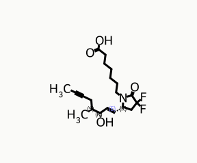 CC#CC[C@H](C)[C@@H](O)/C=C/[C@H]1CC(F)(F)C(=O)N1CCCCCCC(=O)O